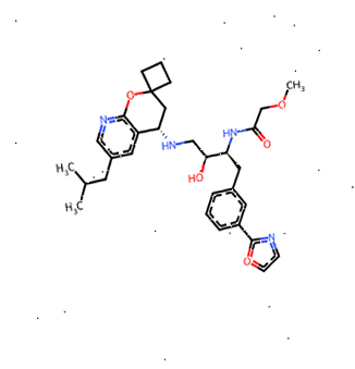 COCC(=O)N[C@@H](Cc1cccc(-c2ncco2)c1)[C@@H](O)CN[C@H]1CC2(CCC2)Oc2ncc(CC(C)C)cc21